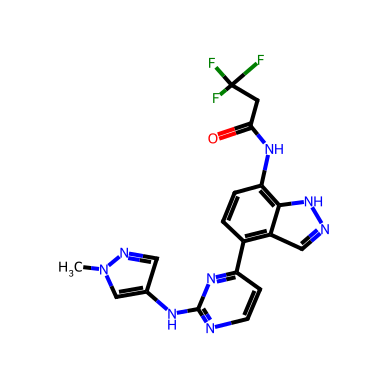 Cn1cc(Nc2nccc(-c3ccc(NC(=O)CC(F)(F)F)c4[nH]ncc34)n2)cn1